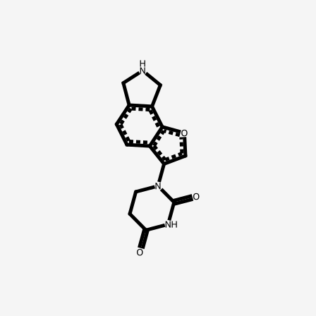 O=C1CCN(c2coc3c4c(ccc23)CNC4)C(=O)N1